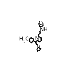 Cc1ccc(C(=CCN2CCCC2)c2cccc(CC=CNC3CCOCC3)n2)cc1